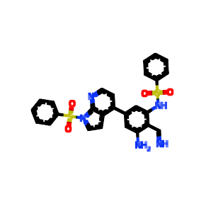 N=Cc1c(N)cc(-c2ccnc3c2ccn3S(=O)(=O)c2ccccc2)cc1NS(=O)(=O)c1ccccc1